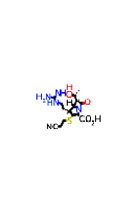 C[C@@H](O)[C@H]1C(=O)N2C(C(=O)O)=C(SCCC#N)[C@H](CCNC(=N)N)[C@H]12